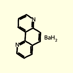 [BaH2].c1cnc2c(c1)ccc1ncccc12